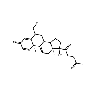 CC(=O)OCC(=O)[C@@]1(O)CCC2C3CC(CF)C4=CC(=O)C=C[C@]4(C)C3=CC[C@@]21C